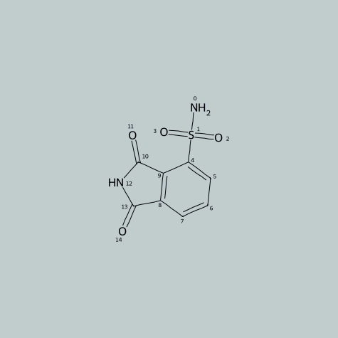 NS(=O)(=O)c1cccc2c1C(=O)NC2=O